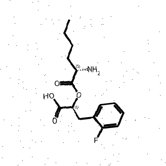 CCCC[C@H](N)C(=O)O[C@@H](Cc1ccccc1F)C(=O)O